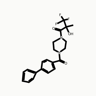 CC(O)(C(=O)N1CCN(C(=O)c2ccc(-c3ccccc3)cc2)CC1)C(F)(F)F